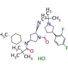 CC(C)(C)C(=O)N([C@H]1C[C@@H](C#N)N(C(=O)[C@@H]2CN(C(C)(C)C)C[C@H]2c2ccc(F)cc2F)C1)[C@H]1CC[C@@H](C)CC1.Cl